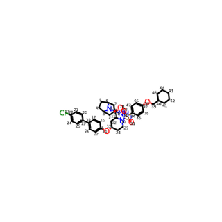 NC1CC2CCC(C1)N2C(=O)[C@@H]1C[C@H](Oc2ccc(-c3ccc(Cl)cc3)cc2)CCN1S(=O)(=O)c1ccc(OCC2CCCCC2)cc1